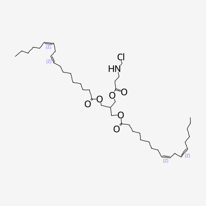 CCCCC/C=C\C/C=C\CCCCCCCC(=O)OCC(COC(=O)CCCCCCC/C=C\C/C=C\CCCCC)COC(=O)CCNCCl